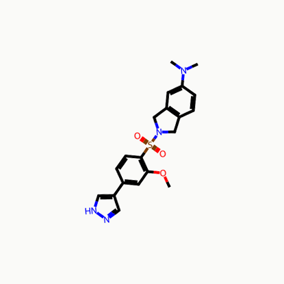 COc1cc(-c2cn[nH]c2)ccc1S(=O)(=O)N1Cc2ccc(N(C)C)cc2C1